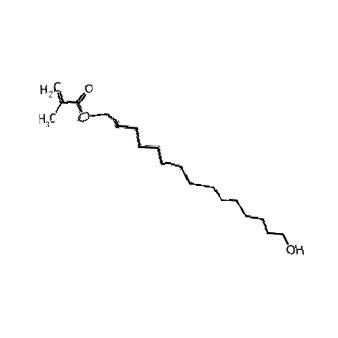 C=C(C)C(=O)OCCCCCCCCCCCCCCCO